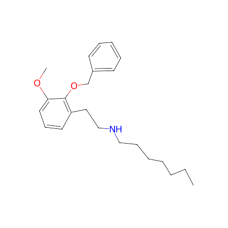 CCCCCCCNCCc1cccc(OC)c1OCc1ccccc1